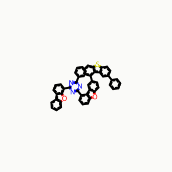 c1ccc(-c2ccc3sc4cccc(-c5ccc6oc7cccc(-c8nc(-c9ccccc9)nc(-c9cccc%10c9oc9ccccc9%10)n8)c7c6c5)c4c3c2)cc1